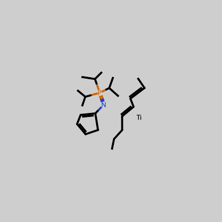 CC(C)P(=NC1=CC=CC1)(C(C)C)C(C)C.CC=CC=CCCC.[Ti]